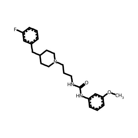 COc1cccc(NC(=O)NCCCN2CCC(Cc3cccc(F)c3)CC2)c1